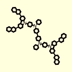 c1ccc(N(c2ccc(-c3ccc(N(c4ccccc4)c4ccc(-n5c6ccc(-c7ccc8ccccc8c7)cc6c6cc(-c7ccc8ccccc8c7)ccc65)cc4)cc3)cc2)c2ccc(-n3c4ccc(-c5ccc6ccccc6c5)cc4c4cc(-c5ccc6ccccc6c5)ccc43)cc2)cc1